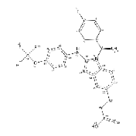 C[C@H](C1C=CC(F)=CC1)n1c(Nc2ccc(OC(F)(F)F)cc2)nc2cc(CCC(=O)O)ccc21